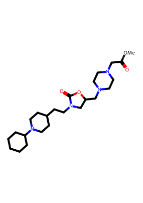 COC(=O)CN1CCN(CC2CN(CCC3CCN(C4CCCCC4)CC3)C(=O)O2)CC1